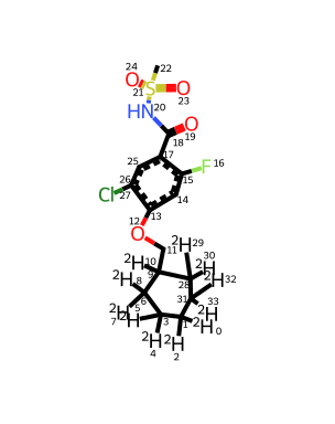 [2H]C1([2H])C([2H])([2H])C([2H])([2H])C([2H])(COc2cc(F)c(C(=O)NS(C)(=O)=O)cc2Cl)C([2H])([2H])C1([2H])[2H]